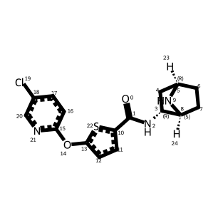 O=C(N[C@@H]1C[C@H]2CC[C@@H]1N2)c1ccc(Oc2ccc(Cl)cn2)s1